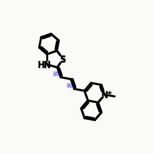 C[n+]1ccc(/C=C/C=C2/Nc3ccccc3S2)c2ccccc21